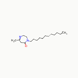 CCCCCCCCCCCCN1CCN=C(C)CC1=O